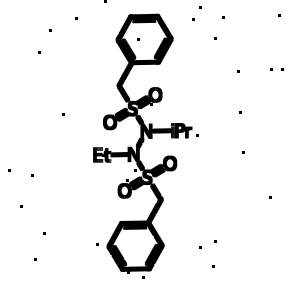 CCN(N(C(C)C)S(=O)(=O)Cc1ccccc1)S(=O)(=O)Cc1ccccc1